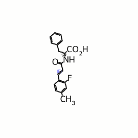 Cc1ccc(/C=C/C(=O)N[C@@H](Cc2ccccc2)C(=O)O)c(F)c1